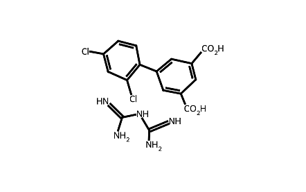 N=C(N)NC(=N)N.O=C(O)c1cc(C(=O)O)cc(-c2ccc(Cl)cc2Cl)c1